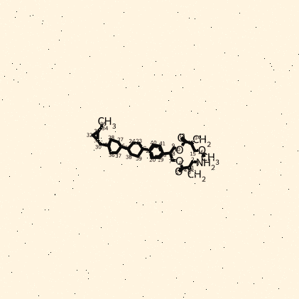 C=C(CN)C(=O)OCC(COC(=O)C(=C)COC)c1ccc(C2CCC(C3CCC(CC4CC4CC)CC3)CC2)cc1